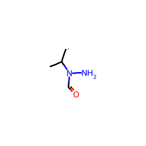 [CH2]C(C)N(N)C=O